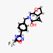 OC(C1CC1)N(Cc1ccc(-c2noc(C(F)(F)F)n2)cc1)CC1CCCO1